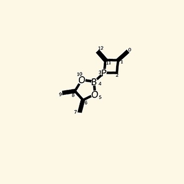 C=C1CP(B2OC(=C)C(=C)O2)C1=C